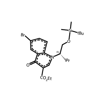 CCOC(=O)c1cn([C@H](CO[Si](C)(C)C(C)(C)C)C(C)C)c2ccc(Br)cc2c1=O